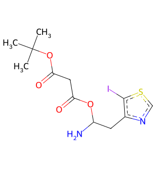 CC(C)(C)OC(=O)CC(=O)OC(N)Cc1ncsc1I